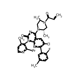 C=CC(=O)N1C[C@H](C)N(c2nc(=O)n(-c3c(C)ccnc3C(C)C)c3nc(-c4cc(C)ccc4F)c(Cl)cc23)C[C@H]1C